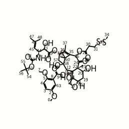 COc1ccc(OC)c(C(=O)O[C@H]2[C@@H]3[C@]4(O)CO[C@@H]4C[C@H](O)[C@@]3(C)C(=O)[C@H](OC(=O)CCSSC)C3=C(C)[C@@H](OC(=O)[C@H](O)[C@H](C=C(C)C)NC(=O)OC(C)(C)C)C[C@]2(O)C3(C)C)c1